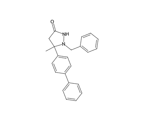 CC1(c2ccc(-c3ccccc3)cc2)CC(=O)NN1Cc1ccccc1